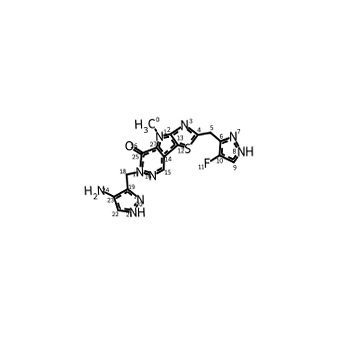 Cn1c2nc(Cc3n[nH]cc3F)sc2c2cnn(Cc3n[nH]cc3N)c(=O)c21